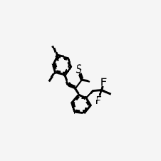 CC(=S)/C(=C\c1ccc(C)cc1C)c1ccccc1CC(C)(F)F